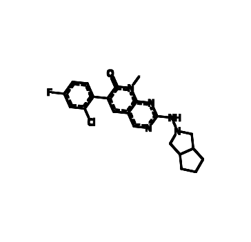 Cn1c(=O)c(-c2ccc(F)cc2Cl)cc2cnc(NN3CC4CCCC4C3)nc21